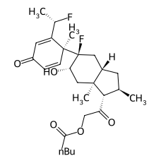 CCCCC(=O)OCC(=O)[C@H]1[C@H](C)C[C@H]2C[C@@](F)([C@@]3(C)C=CC(=O)C=C3[C@H](C)F)[C@@H](O)C[C@@]21C